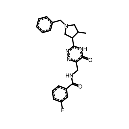 CC1CN(Cc2ccccc2)CC1c1nnc(CNC(=O)c2cccc(F)c2)c(=O)[nH]1